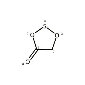 O=C1COSO1